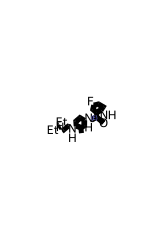 CCN(CC)CCNc1ccc(N/C=C2/C(=O)Nc3ccc(F)cc32)cc1C